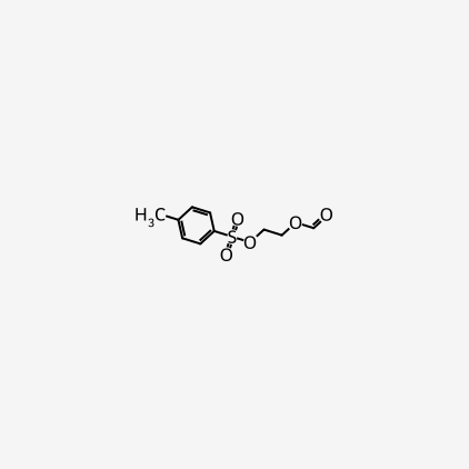 Cc1ccc(S(=O)(=O)OCCOC=O)cc1